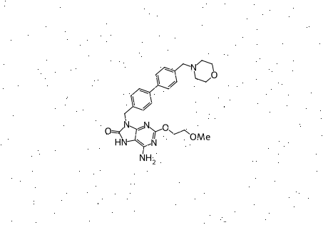 COCCOc1nc(N)c2[nH]c(=O)n(Cc3ccc(-c4ccc(CN5CCOCC5)cc4)cc3)c2n1